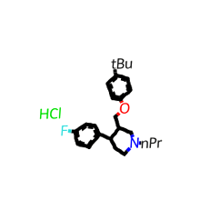 CCCN1CCC(c2ccc(F)cc2)C(COc2ccc(C(C)(C)C)cc2)C1.Cl